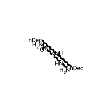 CCCCCCCCCCCCCCCCCCNCCCCCCCCCCCCCCCCCC.NCCCNCCCCNCCCNC(=O)CN